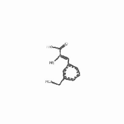 O=C(O)/C(S)=C/c1cccc(CO)c1